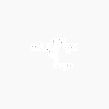 CCOC(=O)C1CN1OC.CON